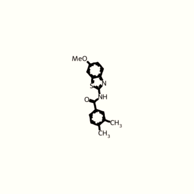 COc1ccc2nc(NC(=O)c3ccc(C)c(C)c3)sc2c1